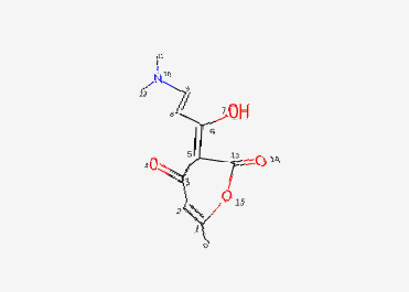 CC1=CC(=O)/C(=C(O)\C=C\N(C)C)C(=O)O1